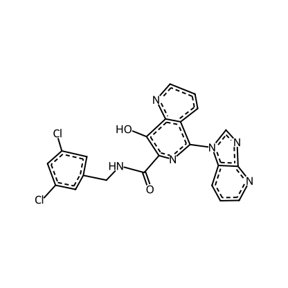 O=C(NCc1cc(Cl)cc(Cl)c1)c1nc(-n2cnc3ncccc32)c2cccnc2c1O